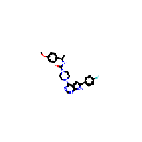 COc1ccc(C(C)NC(=O)N2CCN(c3ncnc4[nH]c(-c5ccc(F)cc5)cc34)CC2)cc1